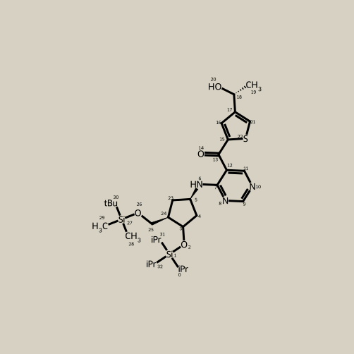 CC(C)[Si](OC1C[C@H](Nc2ncncc2C(=O)c2cc([C@@H](C)O)cs2)C[C@@H]1CO[Si](C)(C)C(C)(C)C)(C(C)C)C(C)C